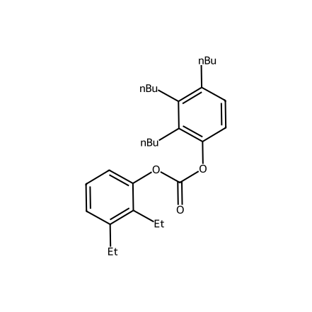 CCCCc1ccc(OC(=O)Oc2cccc(CC)c2CC)c(CCCC)c1CCCC